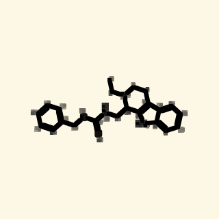 CCN1CCc2c([nH]c3ccccc23)C1CNC(=O)OCc1ccccc1